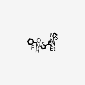 CCc1nn(-c2nccs2)cc1-c1ccc(NC(=O)c2ccccc2F)s1